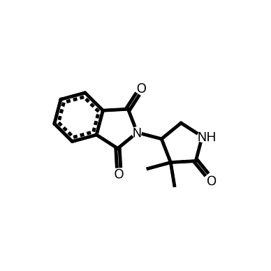 CC1(C)C(=O)NCC1N1C(=O)c2ccccc2C1=O